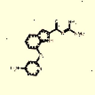 CNC(N)=NC(=O)c1cc2cccc(Oc3cc([N+](=O)[O-])ccn3)c2[nH]1